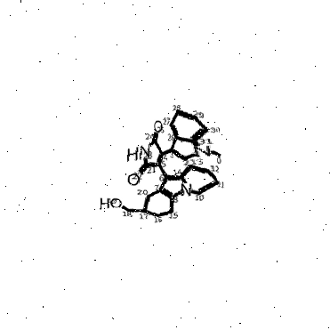 Cn1cc(C2=C(c3c4c(n5ccccc35)CCC(CO)C4)C(=O)NC2=O)c2ccccc21